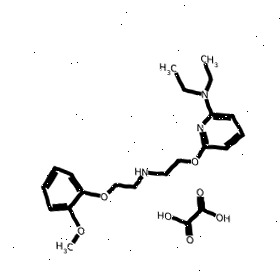 CCN(CC)c1cccc(OCCNCCOc2ccccc2OC)n1.O=C(O)C(=O)O